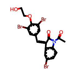 CC(=O)N1C(=O)C(=Cc2cc(Br)c(OCCO)c(Br)c2)c2cc(Br)ccc21